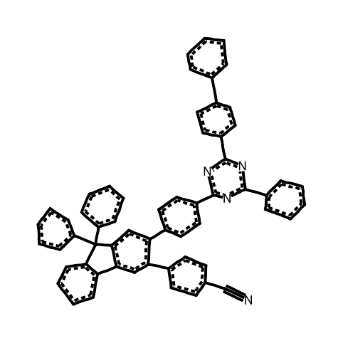 N#Cc1ccc(-c2cc3c(cc2-c2ccc(-c4nc(-c5ccccc5)nc(-c5ccc(-c6ccccc6)cc5)n4)cc2)C(c2ccccc2)(c2ccccc2)c2ccccc2-3)cc1